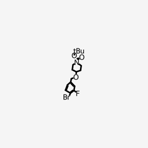 CC(C)(C)OC(=O)N1CCC(OCc2ccc(Br)c(F)c2)CC1